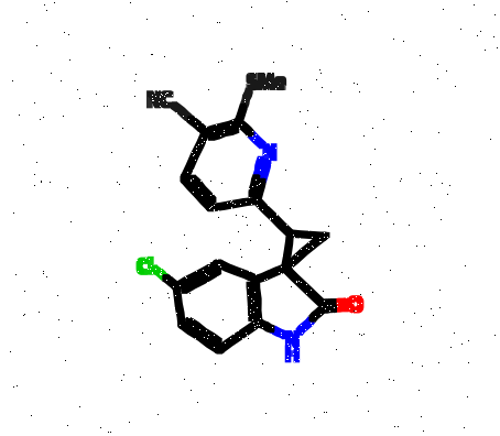 CSc1nc(C2CC23C(=O)Nc2ccc(Cl)cc23)ccc1C#N